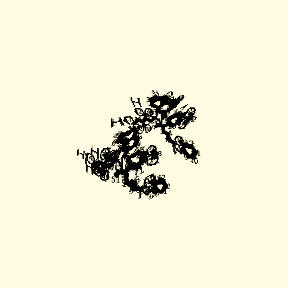 CC(C(CC=Cc1nc2ccccc2o1)c1ccc2c(c1)OCO2)N(Cc1ccc2ccccc2c1)C(=O)CC(C(=O)O)C(CC(=O)O)C(=O)O.CC(C(CC=Cc1nc2ccccc2o1)c1ccc2c(c1)OCO2)N(Cc1ccc2ccccc2c1)C(=O)CC(CC(=O)O)(C(=O)O)C(=O)O